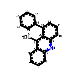 CC(C)(C)c1c2ccccc2nc2cccc(-c3ccccc3)c12